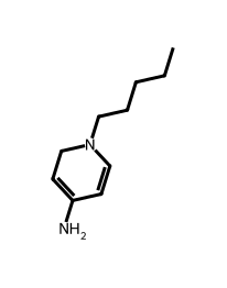 CCCCCN1C=CC(N)=CC1